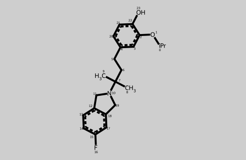 CC(C)Oc1cc(CCC(C)(C)N2Cc3ccc(F)cc3C2)ccc1O